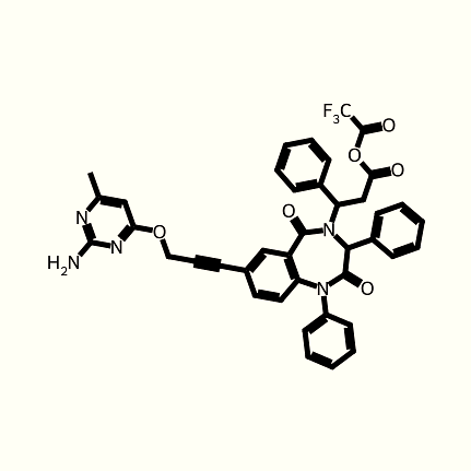 Cc1cc(OCC#Cc2ccc3c(c2)C(=O)N(C(CC(=O)OC(=O)C(F)(F)F)c2ccccc2)C(c2ccccc2)C(=O)N3c2ccccc2)nc(N)n1